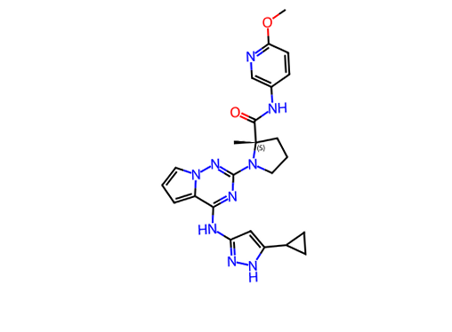 COc1ccc(NC(=O)[C@]2(C)CCCN2c2nc(Nc3cc(C4CC4)[nH]n3)c3cccn3n2)cn1